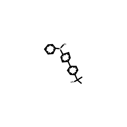 CCCC(C)(C)c1ccc(-c2ccc(N(c3ccccc3)C(C)C)cc2)cc1